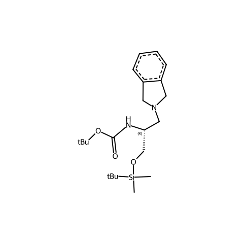 CC(C)(C)OC(=O)N[C@@H](CO[Si](C)(C)C(C)(C)C)CN1Cc2ccccc2C1